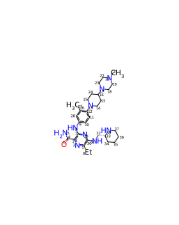 CCc1nc(C(N)=O)c(Nc2ccc(N3CCC(N4CCN(C)CC4)CC3)c(C)c2)nc1NC[C@H]1CCCCN1